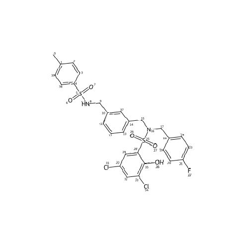 Cc1ccc(S(=O)(=O)NCc2cccc(CN(Cc3ccc(F)cc3)S(=O)(=O)c3cc(Cl)cc(Cl)c3O)c2)cc1